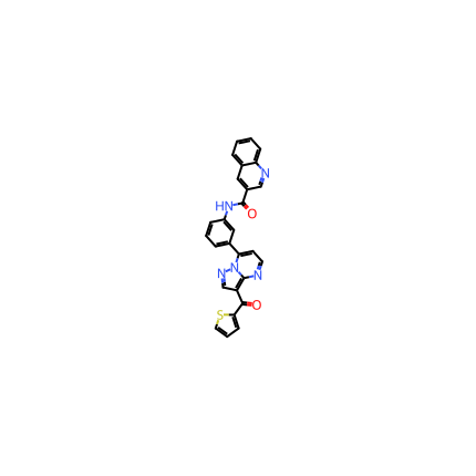 O=C(Nc1cccc(-c2ccnc3c(C(=O)c4cccs4)cnn23)c1)c1cnc2ccccc2c1